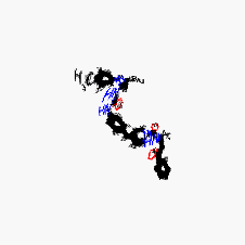 CC(=O)C(=CC(=O)c1ccccc1)NC(=O)N1CCC(Cc2ccc(NC(=O)Nc3cc(C(C)(C)C)nn3-c3ccc(C)cc3)cc2)CC1